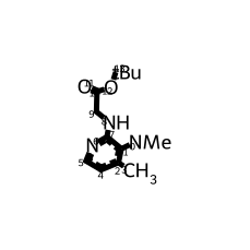 CNc1c(C)ccnc1NCC(=O)OC(C)(C)C